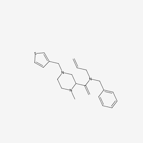 C=CCN(Cc1ccccc1)C(=C)C1CN(Cc2ccsc2)CCN1C